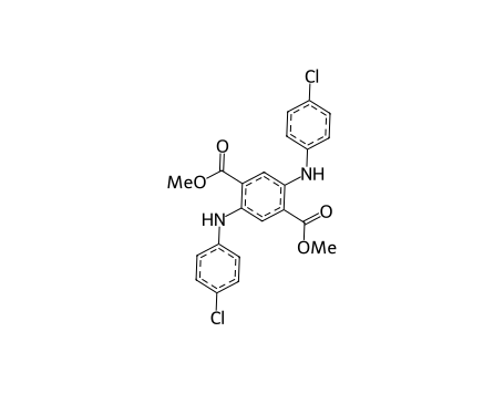 COC(=O)c1cc(Nc2ccc(Cl)cc2)c(C(=O)OC)cc1Nc1ccc(Cl)cc1